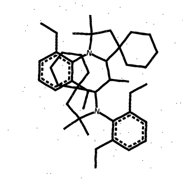 CCc1cccc(CC)c1N1C(C(C)C2N(c3c(CC)cccc3CC)C(C)(C)CC23CCCCC3)C2(CCCCC2)CC1(C)C